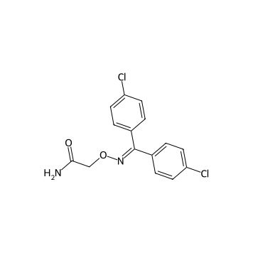 NC(=O)CON=C(c1ccc(Cl)cc1)c1ccc(Cl)cc1